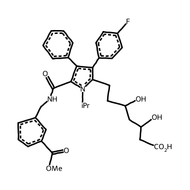 COC(=O)c1cccc(CNC(=O)c2c(-c3ccccc3)c(-c3ccc(F)cc3)c(CCC(O)CC(O)CC(=O)O)n2C(C)C)c1